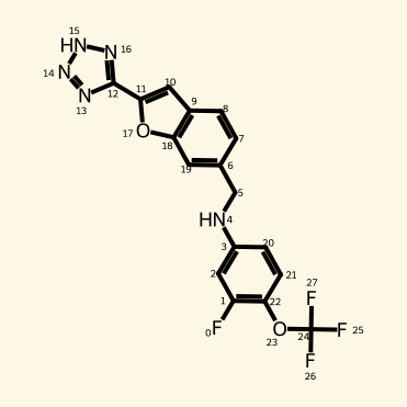 Fc1cc(NCc2ccc3cc(-c4nn[nH]n4)oc3c2)ccc1OC(F)(F)F